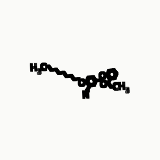 CCCCCCCCCCOc1ccc(C(=O)OC(CC)c2ccccc2)cc1C#N